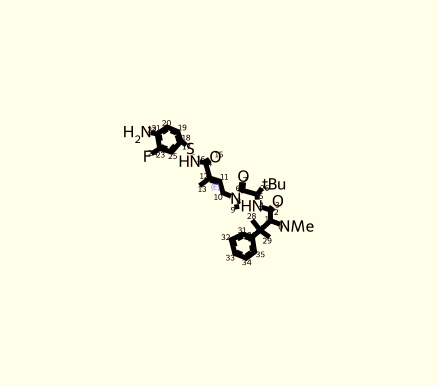 CNC(C(=O)NC(C(=O)N(C)C/C=C(\C)C(=O)NSc1ccc(N)c(F)c1)C(C)(C)C)C(C)(C)c1ccccc1